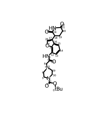 CC(C)(C)OC(=O)N1CCN(CC(=O)Nc2cccc3c(C4CCC(=O)NC4=O)coc23)CC1